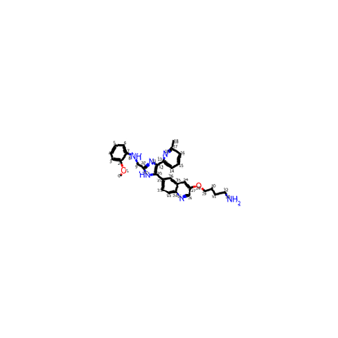 COc1ccccc1NCc1nc(-c2cccc(C)n2)c(-c2ccc3ncc(OCCCCN)cc3c2)[nH]1